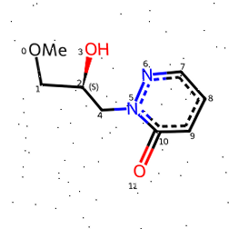 COC[C@@H](O)Cn1n[c]ccc1=O